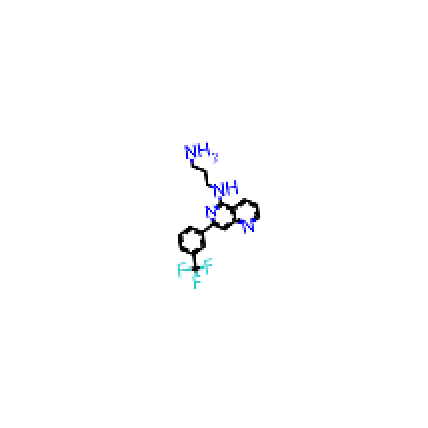 NCCCNc1nc(-c2cccc(C(F)(F)F)c2)cc2ncccc12